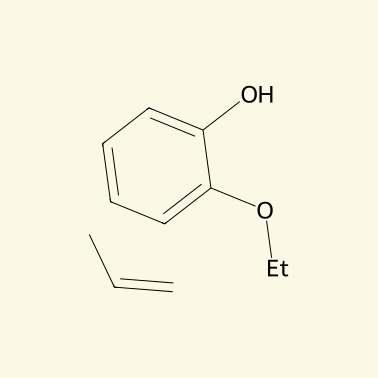 C=CC.CCOc1ccccc1O